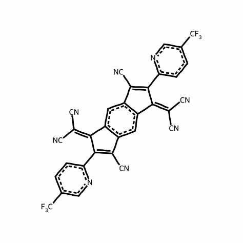 N#CC(C#N)=C1C(c2ccc(C(F)(F)F)cn2)=C(C#N)c2cc3c(cc21)C(C#N)=C(c1ccc(C(F)(F)F)cn1)C3=C(C#N)C#N